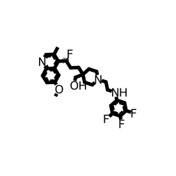 COc1ccc2ncc(C)c([C@H](F)CCC3(CO)CCN(CCNc4cc(F)c(F)c(F)c4)CC3)c2c1